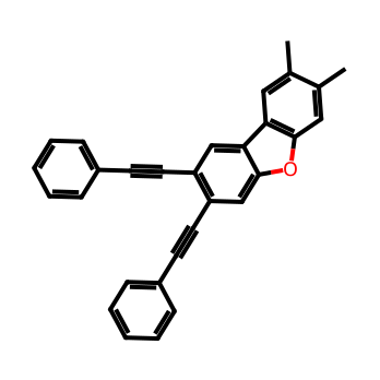 Cc1cc2oc3cc(C#Cc4ccccc4)c(C#Cc4ccccc4)cc3c2cc1C